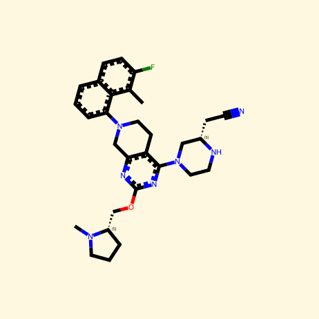 Cc1c(F)ccc2cccc(N3CCc4c(nc(OC[C@@H]5CCCN5C)nc4N4CCN[C@@H](CC#N)C4)C3)c12